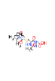 CC(=O)N[C@@H](CSC1CC(=O)N(C(C)(C)C)C1=O)C(=O)NCC(=O)O